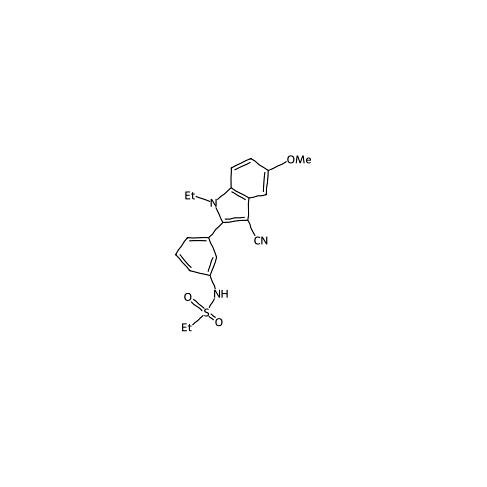 CCn1c(-c2cccc(NS(=O)(=O)CC)c2)c(C#N)c2cc(OC)ccc21